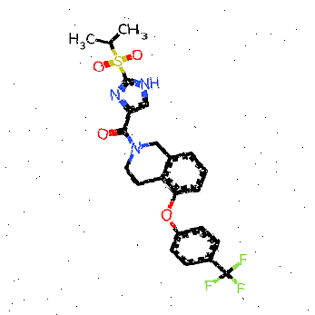 CC(C)S(=O)(=O)c1nc(C(=O)N2CCc3c(cccc3Oc3ccc(C(F)(F)F)cc3)C2)c[nH]1